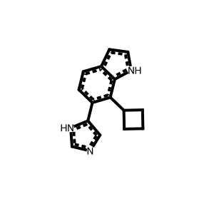 c1ncc(-c2ccc3cc[nH]c3c2C2CCC2)[nH]1